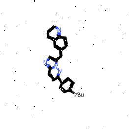 CCCCc1ccc(-c2ccc3ncc(Cc4ccc5ncccc5c4)n3n2)cc1